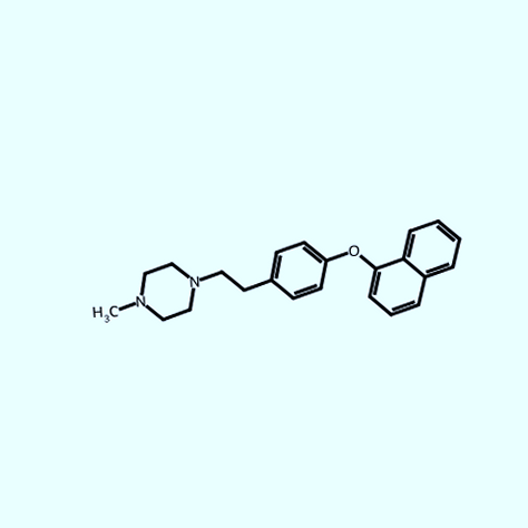 CN1CCN(CCc2ccc(Oc3cccc4ccccc34)cc2)CC1